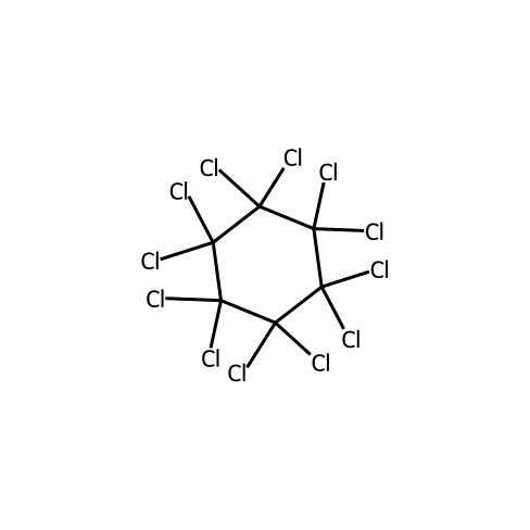 ClC1(Cl)C(Cl)(Cl)C(Cl)(Cl)C(Cl)(Cl)C(Cl)(Cl)C1(Cl)Cl